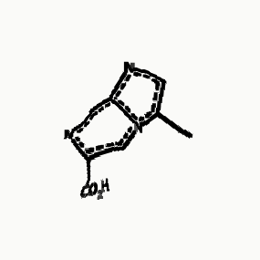 Cc1cnc2cnc(C(=O)O)cn12